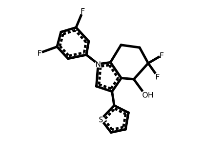 OC1c2c(-c3cccs3)cn(-c3cc(F)cc(F)c3)c2CCC1(F)F